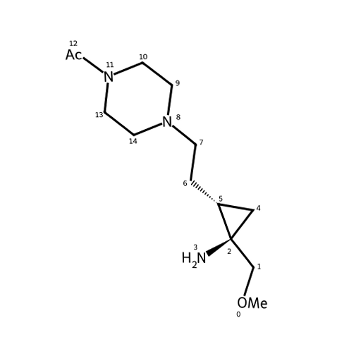 COC[C@@]1(N)C[C@H]1CCN1CCN(C(C)=O)CC1